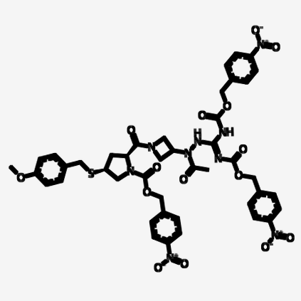 COc1ccc(CS[C@H]2C[C@@H](C(=O)N3CC(N(NC(=NC(=O)OCc4ccc([N+](=O)[O-])cc4)NC(=O)OCc4ccc([N+](=O)[O-])cc4)C(C)=O)C3)N(C(=O)OCc3ccc([N+](=O)[O-])cc3)C2)cc1